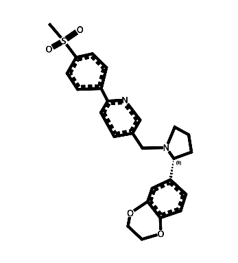 CS(=O)(=O)c1ccc(-c2ccc(CN3CCC[C@@H]3c3ccc4c(c3)OCCO4)cn2)cc1